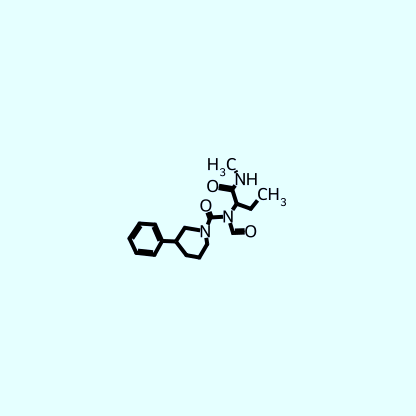 CCC(C(=O)NC)N(C=O)C(=O)N1CCCC(c2ccccc2)C1